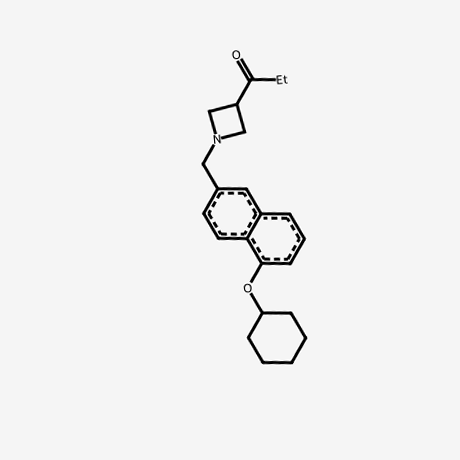 CCC(=O)C1CN(Cc2ccc3c(OC4CCCCC4)cccc3c2)C1